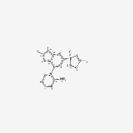 CC1=CC(C)(c2cc(-c3cccnc3N)c3nc(C)[nH]c3c2)NO1